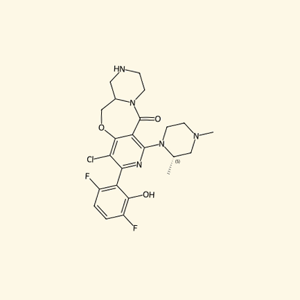 C[C@H]1CN(C)CCN1c1nc(-c2c(F)ccc(F)c2O)c(Cl)c2c1C(=O)N1CCNCC1CO2